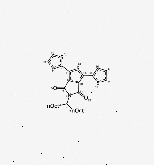 CCCCCCCCC(CCCCCCCC)N1C(=O)c2c(-c3cccs3)sc(-c3cccs3)c2C1=O